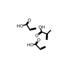 C=C(C)C(=O)O.C=CC(=O)O.C=CC(=O)O